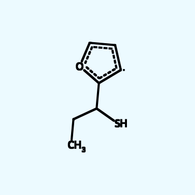 CCC(S)c1[c]cco1